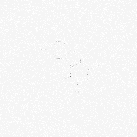 CC1NC(=O)C2Cc3ccc(Cl)cc3N2C1=O